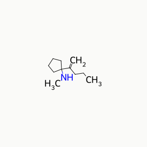 C=C(CCC)C1(NC)CCCC1